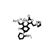 CC(=O)OCC(=O)c1c(C2C(Cn3ccnn3)OC(=O)N2C)ccc(N2CCCCC2N)c1F